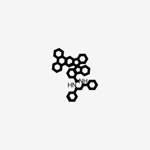 C1=CCC(C2CC(C3CCCCC3)NC(C3CCCC4=C3C3CCCCC3C43C4=CC5=C(CC4C4CCCCC43)C3CCCCC3C3CCCCC53)N2)CC1